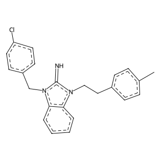 Cc1ccc(CCn2c(=N)n(Cc3ccc(Cl)cc3)c3ccccc32)cc1